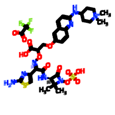 CC1(C)[C@H](NC(=O)/C(=N\OC(COc2ccc3nc(NC4CC[N+](C)(C)CC4)ccc3c2)C(=O)O)c2csc(N)n2)C(=O)N1OS(=O)(=O)O.O=C([O-])C(F)(F)F